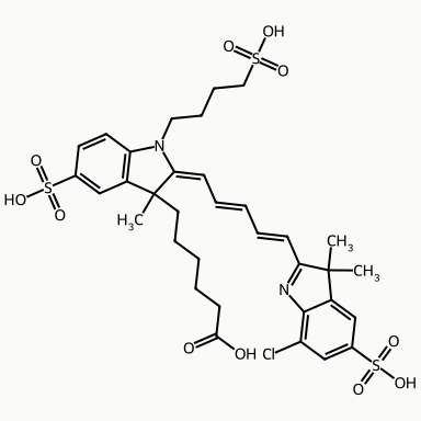 CC1(C)C(/C=C/C=CC=C2N(CCCCS(=O)(=O)O)c3ccc(S(=O)(=O)O)cc3C2(C)CCCCCC(=O)O)=Nc2c(Cl)cc(S(=O)(=O)O)cc21